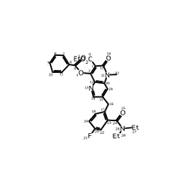 CCOC(=O)c1c(OC(=O)c2ccccc2)c2ncc(Cc3ccc(F)cc3C(=O)N(CC)CC)cc2n(C)c1=O